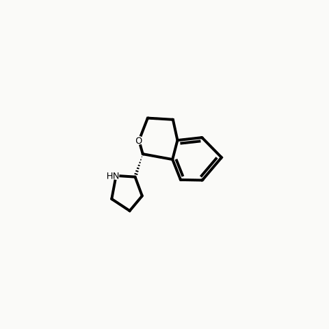 c1ccc2c(c1)CCO[C@H]2C1CCCN1